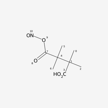 CC(C)(C(=O)O)C(C)(C)C(=O)ON=O